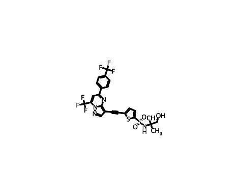 CC(C)(CO)NS(=O)(=O)c1ccc(C#Cc2cnn3c(C(F)(F)F)cc(-c4ccc(C(F)(F)F)cc4)nc23)s1